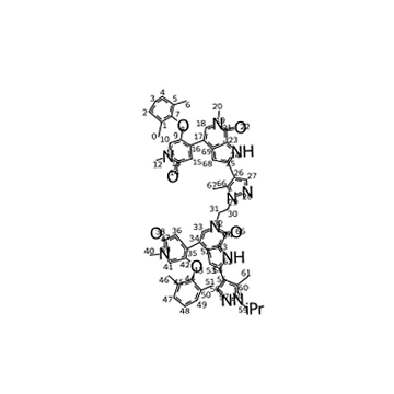 Cc1cccc(C)c1Oc1cn(C)c(=O)cc1-c1cn(C)c(=O)c2[nH]c(-c3cnn(CCn4cc(-c5cc(=O)n(C)cc5Oc5c(C)cccc5C)c5cc(-c6cnn(C(C)C)c6C)[nH]c5c4=O)c3C)cc12